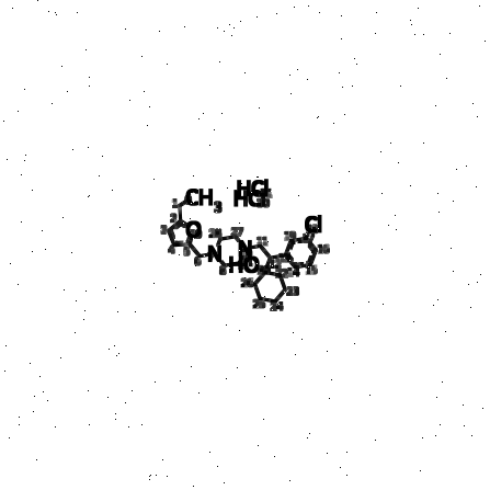 CCc1ccc(CN2CCN(CC(c3cccc(Cl)c3)C3(O)CCCCC3)CC2)o1.Cl.Cl